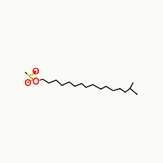 CC(C)CCCCCCCCCCCCCCOS(C)(=O)=O